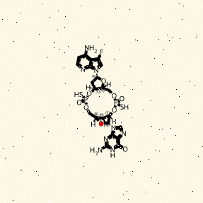 Nc1nc2c(ncn2[C@@H]2O[C@@H]3COP(=O)(S)O[C@H]4C[C@H](n5cc(F)c6c(N)ccnc65)O[C@@H]4COP(=O)(S)O[C@@H]2[C@@H]3F)c(=O)[nH]1